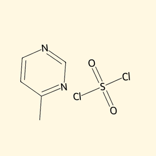 Cc1ccncn1.O=S(=O)(Cl)Cl